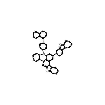 c1cc(-c2ccc3c(c2)sc2ccccc23)cc(N(c2ccc(-c3cccc4ccccc34)cc2)c2ccccc2-c2ccc3c(c2)oc2ccccc23)c1